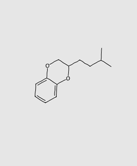 CC(C)CCC1COc2ccccc2O1